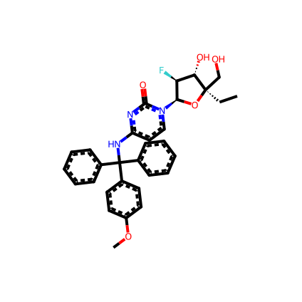 CC[C@]1(CO)O[C@@H](n2ccc(NC(c3ccccc3)(c3ccccc3)c3ccc(OC)cc3)nc2=O)[C@@H](F)[C@@H]1O